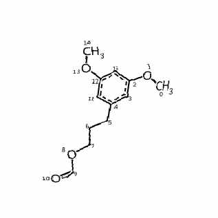 COc1cc(CCCOC=O)cc(OC)c1